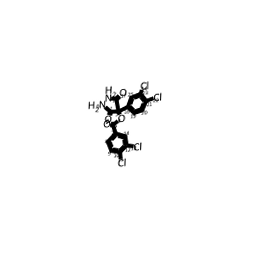 NC(=O)C(OC(=O)c1ccc(Cl)c(Cl)c1)(C(N)=O)c1ccc(Cl)c(Cl)c1